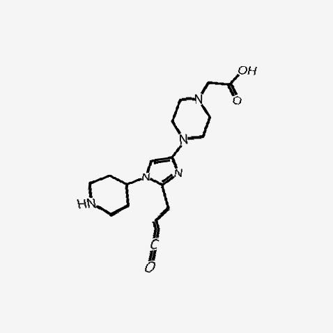 O=C=CCc1nc(N2CCN(CC(=O)O)CC2)cn1C1CCNCC1